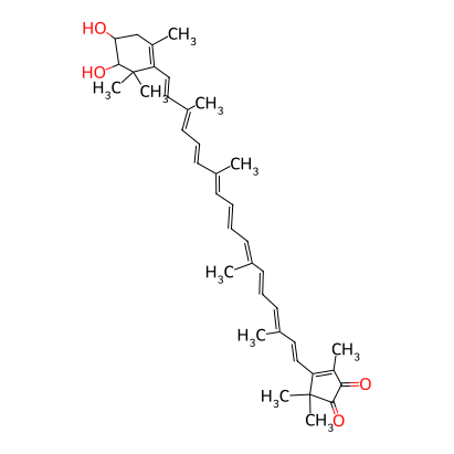 CC1=C(/C=C/C(C)=C/C=C/C(C)=C/C=C/C=C(C)/C=C/C=C(C)/C=C/C2=C(C)C(=O)C(=O)C2(C)C)C(C)(C)C(O)C(O)C1